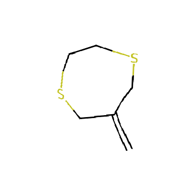 C=C1CSCCSC1